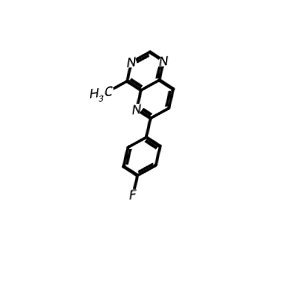 Cc1ncnc2ccc(-c3ccc(F)cc3)nc12